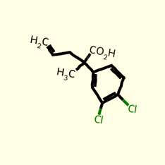 C=CCC(C)(C(=O)O)c1ccc(Cl)c(Cl)c1